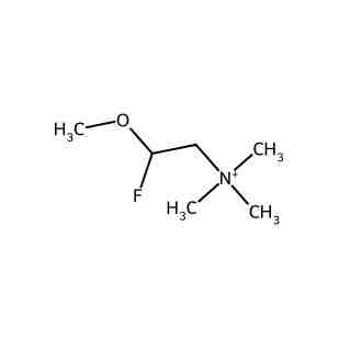 COC(F)C[N+](C)(C)C